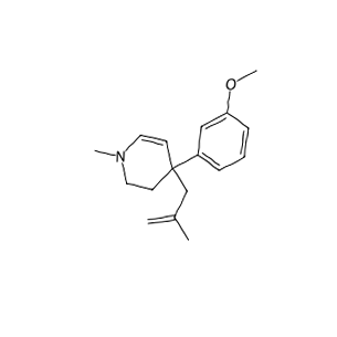 C=C(C)CC1(c2cccc(OC)c2)C=CN(C)CC1